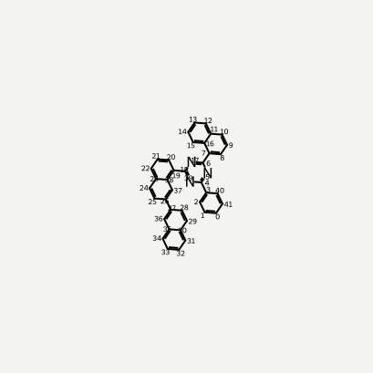 c1ccc(-c2nc(-c3cccc4ccccc34)nc(-c3cccc4ccc(-c5ccc6ccccc6c5)cc34)n2)cc1